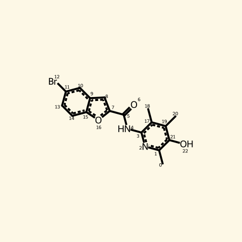 Cc1nc(NC(=O)c2cc3cc(Br)ccc3o2)c(C)c(C)c1O